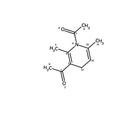 CC(=O)C1=C(C)N(C(C)=O)C(C)=CC1